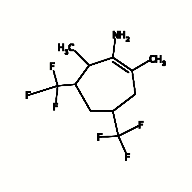 CC1=C(N)C(C)C(C(F)(F)F)CC(C(F)(F)F)C1